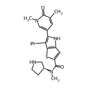 Cc1cc(-c2[nH]c3cc(C(=O)N(C)[C@H]4CCNC4)sc3c2C(C)C)cn(C)c1=O